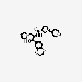 O=C(NC(CN1CCCC1)C(O)c1ccc2c(c1)OCCO2)[C@H]1CCN(C2CCOCC2)C1